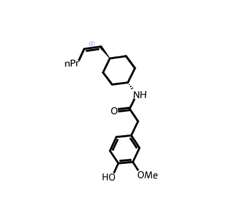 CCC/C=C\[C@H]1CC[C@H](NC(=O)Cc2ccc(O)c(OC)c2)CC1